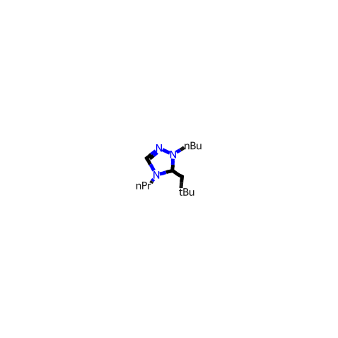 CCCCN1N=CN(CCC)C1CC(C)(C)C